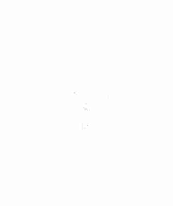 [SiH3][SiH](Br)[Si](Br)(Br)Br